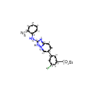 CCOC(=O)c1cc(F)cc(-c2ccc3nc(Nc4ccccc4C#N)nn3c2)c1